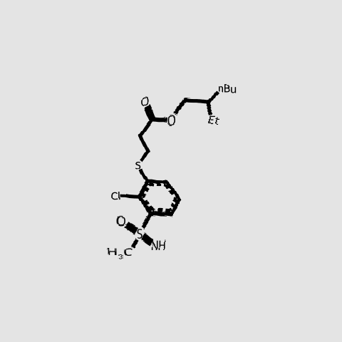 CCCCC(CC)COC(=O)CCSc1cccc(S(C)(=N)=O)c1Cl